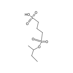 CCC(C)OS(=O)(=O)CCCS(=O)(=O)O